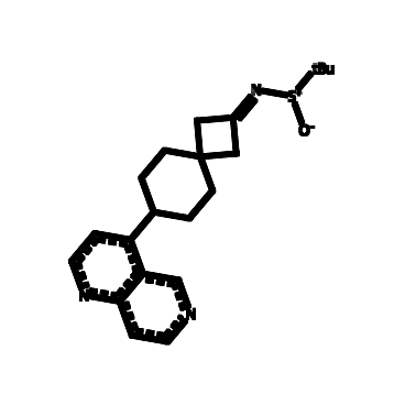 CC(C)(C)[S+]([O-])N=C1CC2(CCC(c3ccnc4ccncc34)CC2)C1